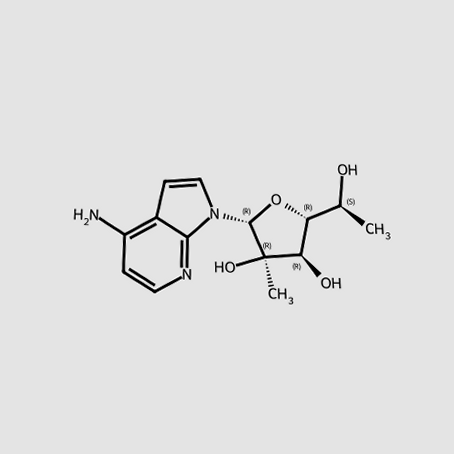 C[C@H](O)[C@H]1O[C@@H](n2ccc3c(N)ccnc32)[C@](C)(O)[C@@H]1O